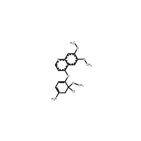 COc1cc2nccc(OC3=CC=C(N)CC3(Cl)OC)c2cc1OC